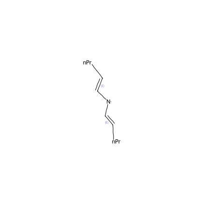 CCC/C=C/[N]/C=C/CCC